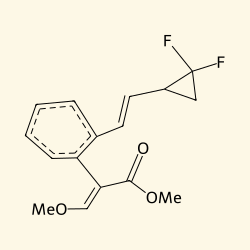 CO/C=C(/C(=O)OC)c1ccccc1/C=C/C1CC1(F)F